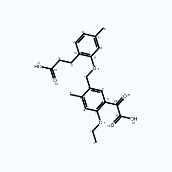 CCOc1cc(C)c(COc2cc(C)ccc2CCC(=O)O)cc1C(=O)C(=O)O